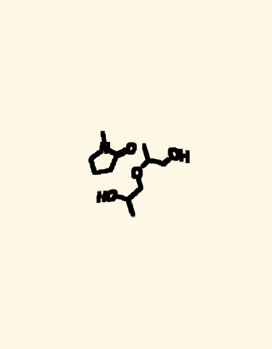 CC(O)COC(C)CO.CN1CCCC1=O